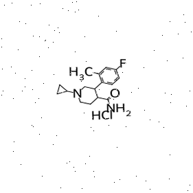 Cc1cc(F)ccc1C1CN(C2CC2)CCC1C(N)=O.Cl